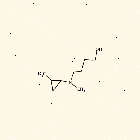 CC1CC1N(C)CCCCO